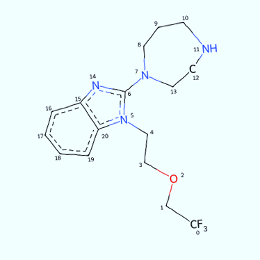 FC(F)(F)COCCn1c(N2CCCNCC2)nc2ccccc21